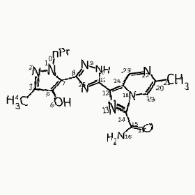 CCCn1nc(C)c(O)c1-c1n[nH]c(-c2nc(C(N)=O)n3cc(C)ncc23)n1